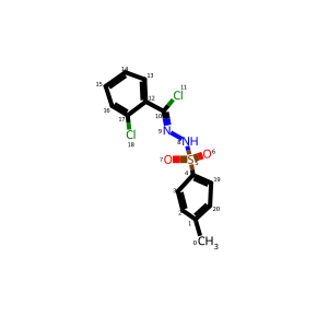 Cc1ccc(S(=O)(=O)NN=C(Cl)c2ccccc2Cl)cc1